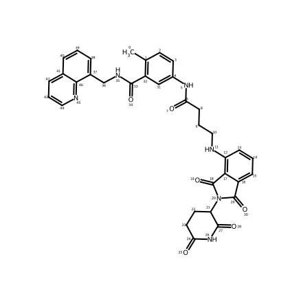 Cc1ccc(NC(=O)CCCNc2cccc3c2C(=O)N(C2CCC(=O)NC2=O)C3=O)cc1C(=O)NCc1cccc2cccnc12